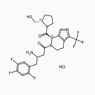 Cl.NC(CC(=O)N1CCn2c(cnc2C(F)(F)F)[C@@H]1C(=O)N1CCC[C@H]1CO)Cc1cc(F)c(F)cc1F